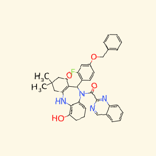 CC1(C)CC(=O)C2=C(C1)NC1=C(O)CCC=C1N(C(=O)c1ncc3ccccc3n1)C2c1ccc(OCc2ccccc2)cc1F